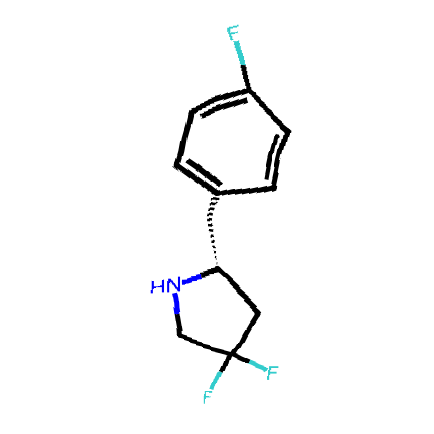 Fc1ccc([C@@H]2CC(F)(F)CN2)cc1